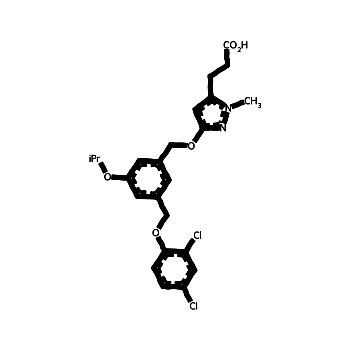 CC(C)Oc1cc(COc2cc(CCC(=O)O)n(C)n2)cc(COc2ccc(Cl)cc2Cl)c1